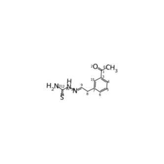 CC(=O)c1cccc(CC=NNC(N)=S)c1